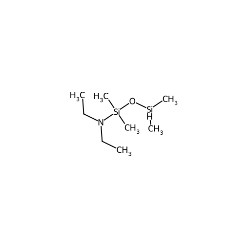 CCN(CC)[Si](C)(C)O[SiH](C)C